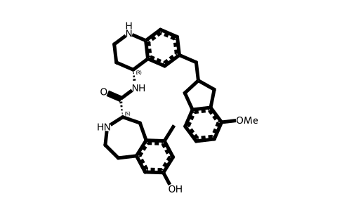 COc1cccc2c1CC(Cc1ccc3c(c1)[C@H](NC(=O)[C@@H]1Cc4c(C)cc(O)cc4CCN1)CCN3)C2